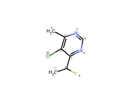 Cc1ncnc(C(C)F)c1Cl